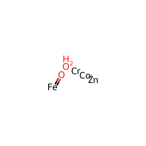 O.[Co].[Cr].[O]=[Fe].[Zn]